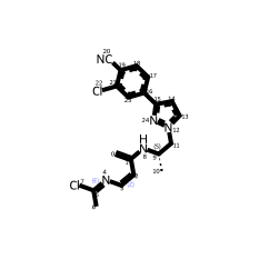 C=C(/C=C\N=C(/C)Cl)N[C@@H](C)Cn1ccc(-c2ccc(C#N)c(Cl)c2)n1